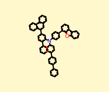 c1ccc(-c2ccc(-c3ccc(N(c4ccc(-c5cccc6c5oc5ccccc56)cc4)c4cc(-c5cc6ccccc6c6ccccc56)ccc4-c4ccccc4)cc3)cc2)cc1